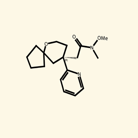 CON(C)C(=O)C[C@@]1(c2ccccn2)CCOC2(CCCC2)C1